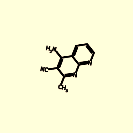 Cc1nc2ncccc2c(N)c1C#N